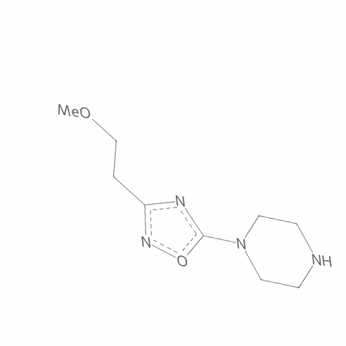 COCCc1noc(N2CCNCC2)n1